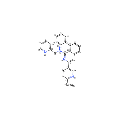 CC(=O)Nc1ccc(-c2cc3cccc(-c4ccccc4)c3c(NCc3ccccn3)n2)cn1